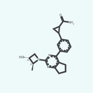 C[C@H]1[C@H](O)CN1c1nc2c(c(-c3cccc(C4CC4C(N)=O)c3)n1)CCC2